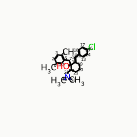 Cc1ccc(C)c(CC2(O)C(=Cc3ccc(Cl)cc3)CCCC2CN(C)C)c1